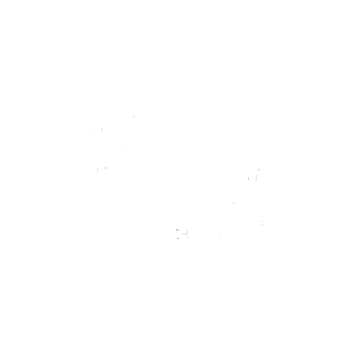 Cc1cc(S(=O)(=O)Cl)ccc1C(F)(C(F)(F)F)C(F)(F)F